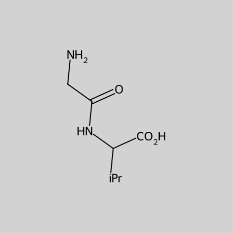 CC(C)C(NC(=O)CN)C(=O)O